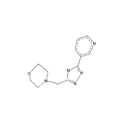 c1cncc(C2=NN=C(CN3CCOCC3)[N]2)c1